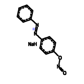 O=NOc1ccc(/N=N/c2ccccc2)cc1.[NaH]